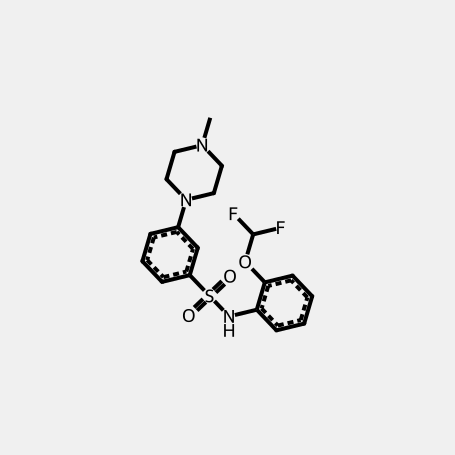 CN1CCN(c2cccc(S(=O)(=O)Nc3ccccc3OC(F)F)c2)CC1